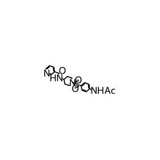 CC(=O)Nc1ccc(S(=O)(=O)N2CCC(NC(=O)c3cccnc3)CC2)cc1